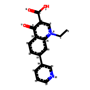 CCn1cc(C(=O)O)c(=O)c2ccc(-c3cccnc3)cc21